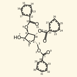 O=C(OC[C@@H]1SC(O)[C@@H](OC(=O)c2ccccc2)[C@@H]1OC(=O)c1ccccc1)c1ccccc1